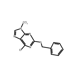 Clc1nc(SCc2ccccc2)nc2c1ncn2C(Cl)(Cl)Cl